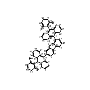 FC1=C(c2c3ccccc3c(-c3ccc4c(c3)oc3c(-c5c6ccccc6c(-c6c(F)cccc6F)c6ccccc56)cccc34)c3ccccc23)C(F)CC=C1